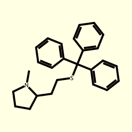 CN1CCCC1CCSC(c1ccccc1)(c1ccccc1)c1ccccc1